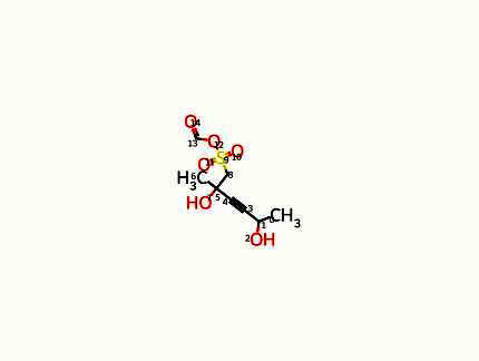 CC(O)C#CC(C)(O)CS(=O)(=O)OC=O